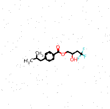 CC(C)Cc1ccc(C(=O)OC[C@H](O)CC(F)(F)F)cc1